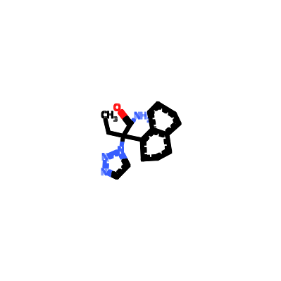 CCC(C(N)=O)(c1cccc2ccccc12)n1ccnn1